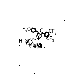 C[C@@H]1CN(CCN2CCN(C(=O)c3cc(C(F)(F)F)cc(C(F)(F)F)c3)[C@H](Cc3ccc(C(F)(F)F)cc3)C2)C[C@H](C)O1.Cl.Cl